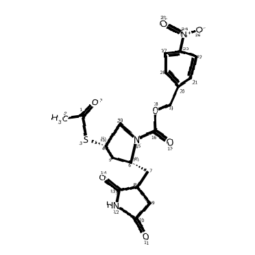 CC(=O)S[C@H]1C[C@@H](CC2CC(=O)NC2=O)N(C(=O)OCc2ccc([N+](=O)[O-])cc2)C1